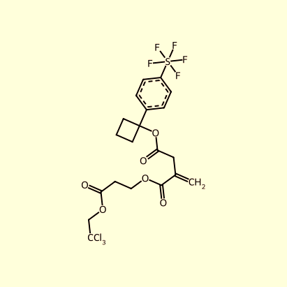 C=C(CC(=O)OC1(c2ccc(S(F)(F)(F)(F)F)cc2)CCC1)C(=O)OCCC(=O)OCC(Cl)(Cl)Cl